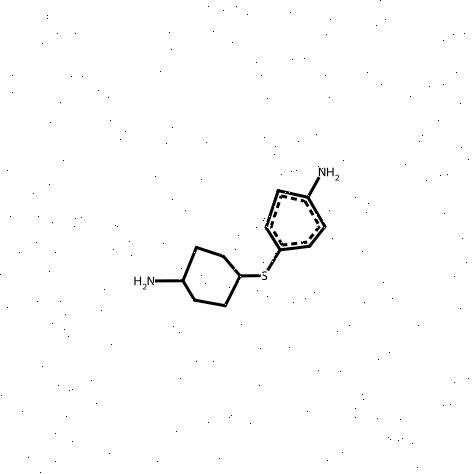 Nc1ccc(SC2CCC(N)CC2)cc1